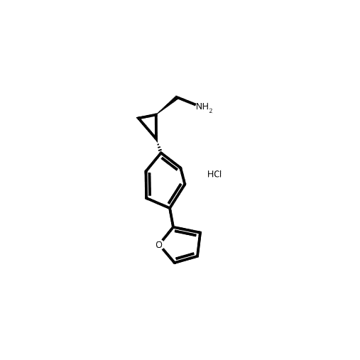 Cl.NC[C@@H]1C[C@H]1c1ccc(-c2ccco2)cc1